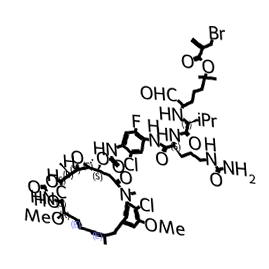 C=C(CBr)C(=O)OC(C)(C)CCCC(C=O)N[C@H](C(=O)N[C@@H](CCCNC(N)=O)C(=O)Nc1cc(Cl)c(NC(=O)O[C@H]2CC(=O)N(C)c3cc(cc(OC)c3Cl)C/C(C)=C/C=C/[C@@H](OC)[C@@]3(O)C[C@H](OC(=O)N3)[C@@H](C)[C@@H]3O[C@@]23C)cc1F)C(C)C